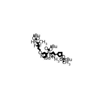 C[C@H](NC(=O)OC(C)(C)C)C(F)(F)CCOc1cc(N(C(=O)OC(C)(C)C)c2cc([C@H]3CC[C@@H](O[Si](C)(C)C(C)(C)C)C3)nn2C(C)(C)C)ccn1